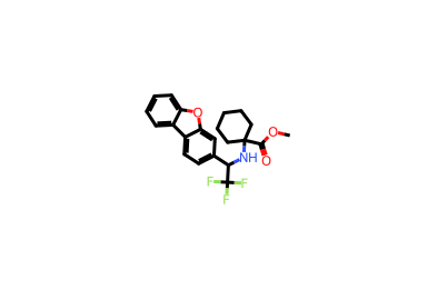 COC(=O)C1(NC(c2ccc3c(c2)oc2ccccc23)C(F)(F)F)CCCCC1